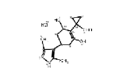 Cc1n[nH]c(C)c1C1CC(O)=C(C2(C=O)CC2)C(O)C1.Cl